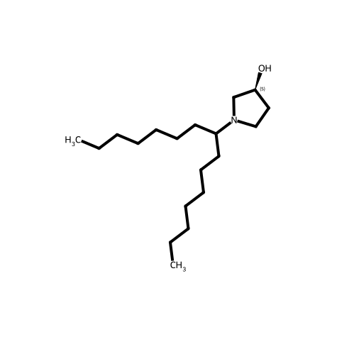 CCCCCCCC(CCCCCCC)N1CC[C@H](O)C1